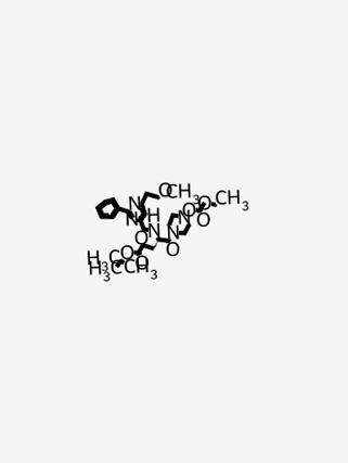 CCOC(=O)ON1CCN(C(=O)[C@H](CCC(=O)OC(C)(C)C)NC(=O)c2cc(CCOC)nc(-c3ccccc3)n2)CC1